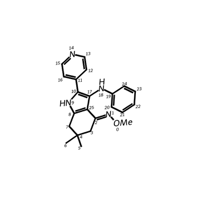 CON=C1CC(C)(C)Cc2[nH]c(-c3ccncc3)c(Nc3ccccc3)c21